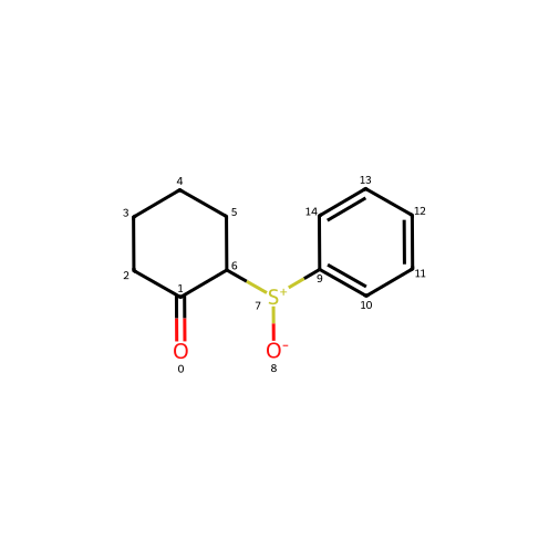 O=C1CCCCC1[S+]([O-])c1ccccc1